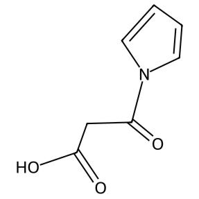 O=C(O)CC(=O)n1cccc1